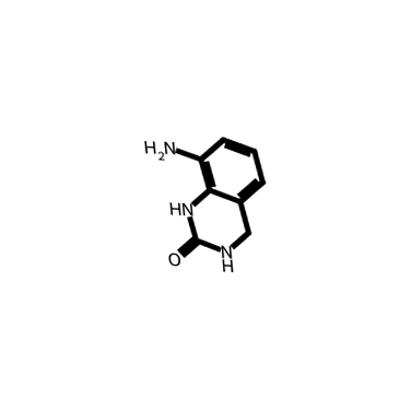 Nc1cccc2c1NC(=O)NC2